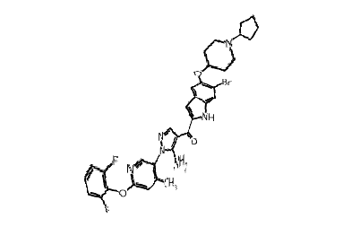 Cc1cc(Oc2c(F)cccc2F)ncc1-n1ncc(C(=O)c2cc3cc(OC4CCN(C5CCCC5)CC4)c(Br)cc3[nH]2)c1N